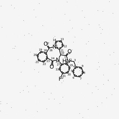 O=C(NCc1ccccc1)C1c2cccn2C(=O)c2ccccc2C(=O)N1c1cccc(F)c1